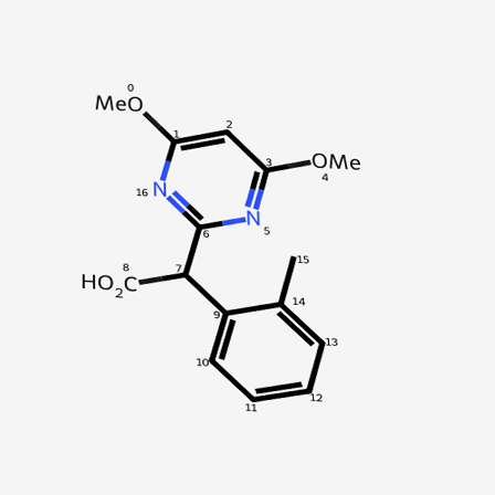 COc1cc(OC)nc(C(C(=O)O)c2ccccc2C)n1